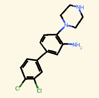 Nc1cc(-c2ccc(Cl)c(Cl)c2)ccc1N1CCNCC1